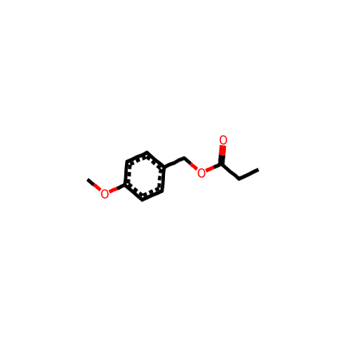 CCC(=O)OCc1ccc(OC)cc1